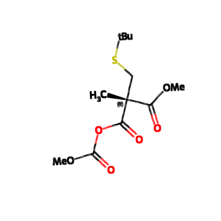 COC(=O)OC(=O)[C@](C)(CSC(C)(C)C)C(=O)OC